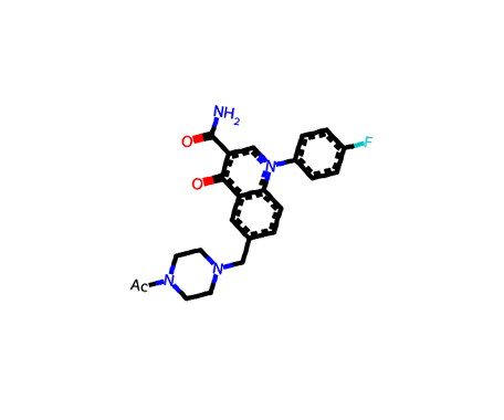 CC(=O)N1CCN(Cc2ccc3c(c2)c(=O)c(C(N)=O)cn3-c2ccc(F)cc2)CC1